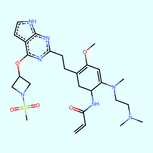 C=CC(=O)NC1CC(CCc2nc(OC3CN(S(C)(=O)=O)C3)c3cc[nH]c3n2)=C(OC)C=C1N(C)CCN(C)C